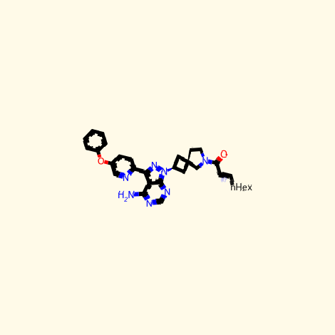 CCCCCC/C=C/C(=O)N1CC[C@]2(C1)C[C@H](n1nc(-c3ccc(Oc4ccccc4)cn3)c3c(N)ncnc31)C2